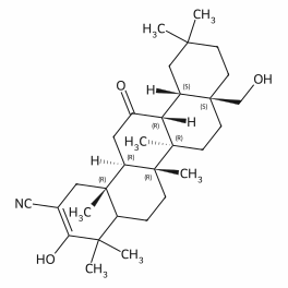 CC1(C)CC[C@]2(CO)CC[C@]3(C)[C@H](C(=O)C[C@@H]4[C@@]5(C)CC(C#N)=C(O)C(C)(C)C5CC[C@]43C)[C@@H]2C1